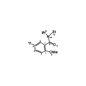 COc1ccc(F)cc1C(=O)N([13CH2][13CH3])[13CH]([13CH3])[13CH3]